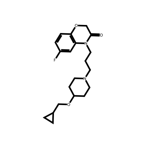 O=C1COc2ccc(F)cc2N1CCCN1CCC(OCC2CC2)CC1